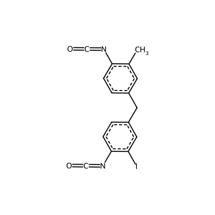 Cc1cc(Cc2ccc(N=C=O)c(I)c2)ccc1N=C=O